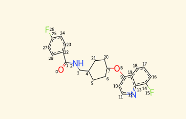 O=C(NCC1CCC(Oc2ccnc3c(F)cccc23)CC1)c1ccc(F)cc1